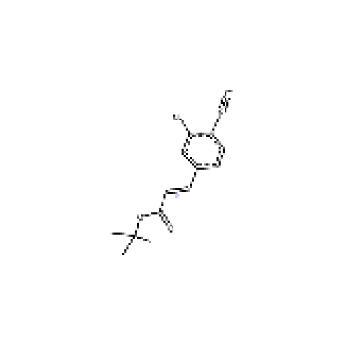 [C-]#[N+]c1ccc(/C=C/C(=O)OC(C)(C)C)cc1Cl